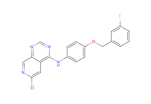 Fc1cccc(COc2ccc(Nc3ncnc4cnc(Cl)cc34)cc2)c1